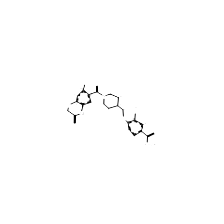 COC(=O)c1ccc(OCC2CCN(C(=O)c3cc4c(cc3F)OCC(=O)N4)CC2)c(Cl)c1